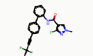 Cn1cc(C(=O)Nc2ccccc2-c2ccc(C#CC(C)(F)F)cc2)c(F)n1